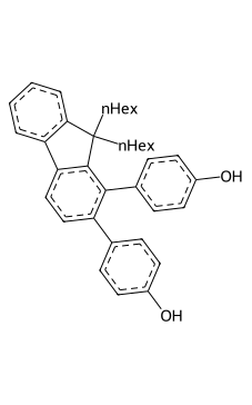 CCCCCCC1(CCCCCC)c2ccccc2-c2ccc(-c3ccc(O)cc3)c(-c3ccc(O)cc3)c21